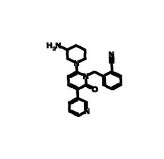 N#Cc1ccccc1Cn1c(N2CCCC(N)C2)ccc(-c2cccnc2)c1=O